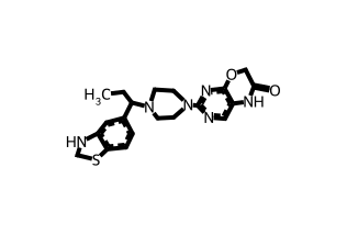 CCC(c1ccc2c(c1)NCS2)N1CCN(c2ncc3c(n2)OCC(=O)N3)CC1